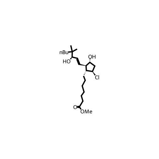 CCCCC(C)(C)[C@H](O)/C=C/[C@@H]1[C@@H](CCCCCCC(=O)OC)[C@H](Cl)C[C@H]1O